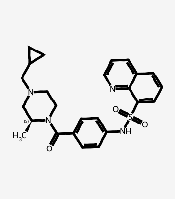 C[C@H]1CN(CC2CC2)CCN1C(=O)c1ccc(NS(=O)(=O)c2cccc3cccnc23)cc1